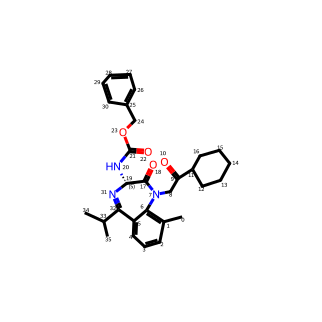 Cc1cccc2c1N(CC(=O)C1CCCCC1)C(=O)[C@@H](NC(=O)OCc1ccccc1)N=C2C(C)C